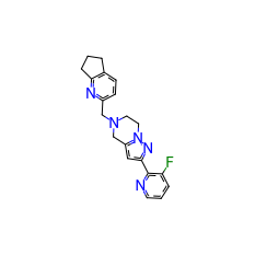 Fc1cccnc1-c1cc2n(n1)CCN(Cc1ccc3c(n1)CCC3)C2